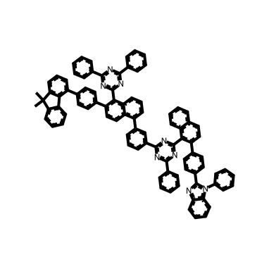 CC1(C)c2ccccc2-c2c(-c3ccc(-c4ccc5c(-c6cccc(-c7nc(-c8ccccc8)nc(-c8c(-c9ccc(-c%10nc%11ccccc%11n%10-c%10ccccc%10)cc9)ccc9ccccc89)n7)c6)cccc5c4-c4nc(-c5ccccc5)nc(-c5ccccc5)n4)cc3)cccc21